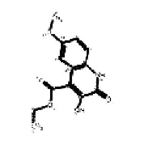 CCOC(=O)c1c(O)c(=O)[nH]c2ccc(OC)cc12